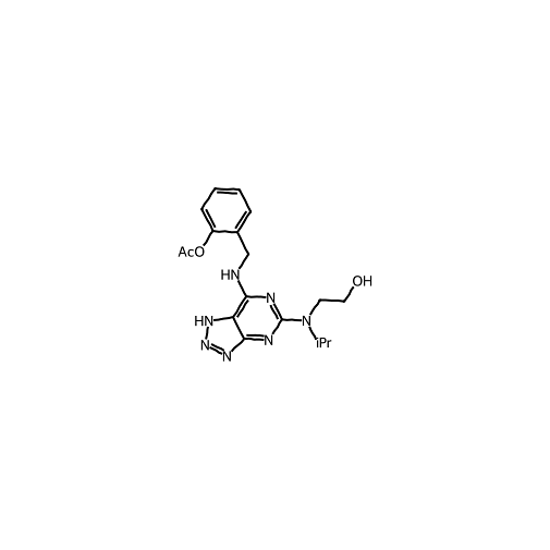 CC(=O)Oc1ccccc1CNc1nc(N(CCO)C(C)C)nc2nn[nH]c12